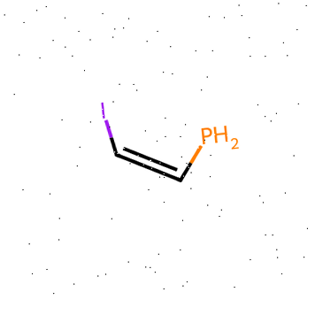 P/C=C\I